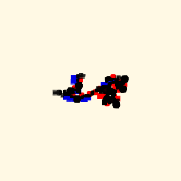 CCCNC(=O)Nc1cccc(S(=O)(=O)Nc2cccc([C@@H](CC(=O)O)NC(=O)Nc3ccc(NC(=O)NCCOCCOCCOCCC(=O)N[C@@H](CC(=O)O)C(=O)N4CCC[C@H]4C(=O)N[C@H](C(=O)O[C@@H](C(=O)OC(C)/C(C)=C4/C(OC(C)=O)C(=O)[C@@]5(C)[C@H](C(OC(=O)c6ccccc6)C(C)(O)C4(C)C)[C@]4(OC(C)=O)CO[C@@H]4C[C@@H]5O)[C@@H](NC(=O)c4ccccc4)c4ccccc4)C(C)C)cc3)c2)c1